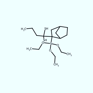 CCCC(S)(S)C1([Si](OCC)(OCC)OCC)CC2CCC1C2